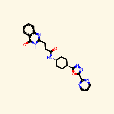 O=C(CCc1nc2ccccc2c(=O)[nH]1)N[C@H]1CC[C@H](c2nnc(-c3ncccn3)o2)CC1